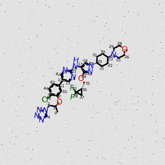 CC(Cn1cnnn1)Oc1cc(-c2cnc(Nc3cn([C@H]4CC[C@H](N5CCOCC5)CC4)nc3OC[C@@H]3CC3(F)F)nc2)ccc1Cl